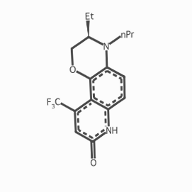 CCCN1c2ccc3[nH]c(=O)cc(C(F)(F)F)c3c2OC[C@H]1CC